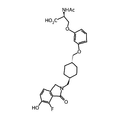 CC(=O)N[C@@H](COc1cccc(OC[C@H]2CC[C@H](CN3Cc4ccc(O)c(F)c4C3=O)CC2)c1)C(=O)O